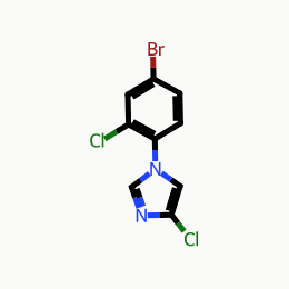 Clc1cn(-c2ccc(Br)cc2Cl)cn1